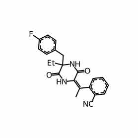 CCC1(Cc2ccc(F)cc2)NC(=O)C(=C(C)c2ccccc2C#N)NC1=O